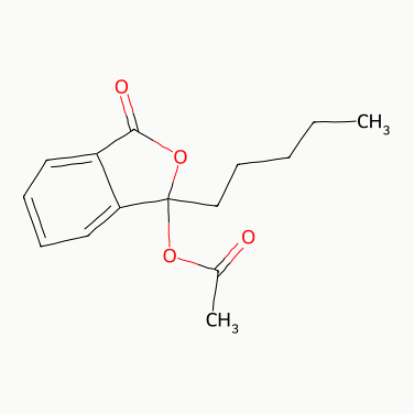 CCCCCC1(OC(C)=O)OC(=O)c2ccccc21